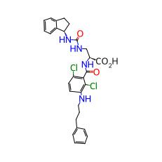 O=C(NC[C@H](NC(=O)c1c(Cl)ccc(NCCCc2ccccc2)c1Cl)C(=O)O)N[C@@H]1CCc2ccccc21